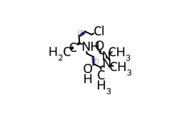 C=C=C(/C=C\CCl)NC/C=C(\O)C(C)N(C)N(C)C=O